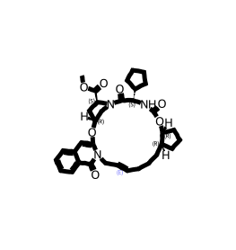 COC(=O)[C@@H]1C[C@@H]2CN1C(=O)[C@H](C1CCCC1)NC(=O)O[C@@H]1CCC[C@H]1CCC/C=C/Cn1c(cc3ccccc3c1=O)O2